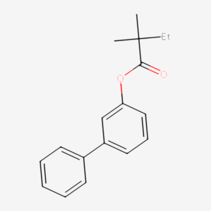 CCC(C)(C)C(=O)Oc1cccc(-c2ccccc2)c1